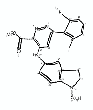 COC(=O)c1nnc(-c2c(F)cccc2F)cc1Nc1ccc2c(c1)CCN2C(=O)O